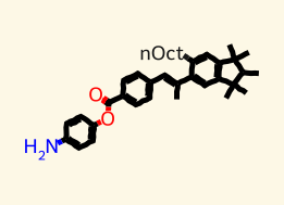 CCCCCCCCc1cc2c(cc1C(C)=Cc1ccc(C(=O)Oc3ccc(N)cc3)cc1)C(C)(C)C(C)C2(C)C